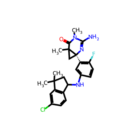 CN1C(=O)C2(C)C[C@]2(c2cc(NC3CC(C)(C)c4cc(Cl)ccc43)ccc2F)N=C1N